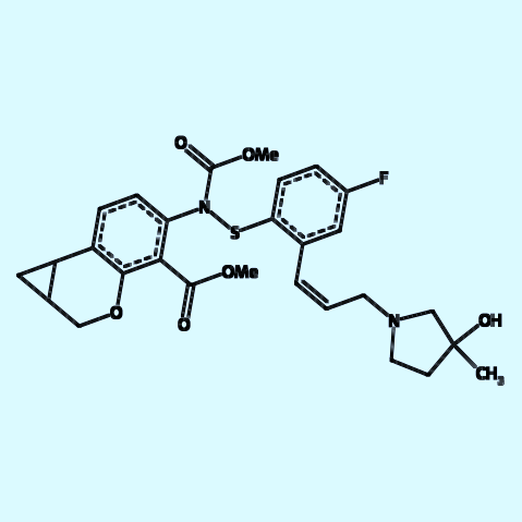 COC(=O)c1c(N(Sc2ccc(F)cc2/C=C\CN2CCC(C)(O)C2)C(=O)OC)ccc2c1OCC1CC21